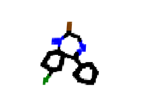 Fc1ccc2c(c1)C(c1ccccc1)=NCC(=S)N2